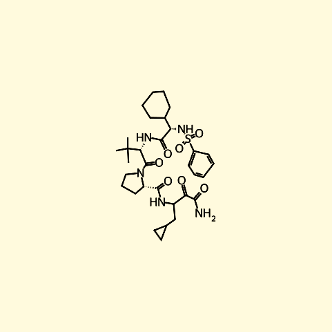 CC(C)(C)[C@H](NC(=O)[C@@H](NS(=O)(=O)c1ccccc1)C1CCCCC1)C(=O)N1CCC[C@H]1C(=O)NC(CC1CC1)C(=O)C(N)=O